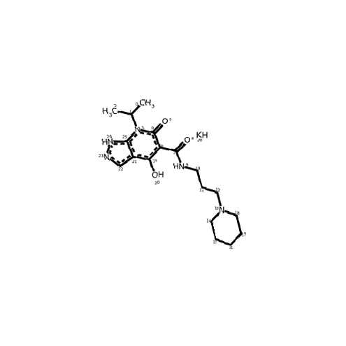 CC(C)n1c(=O)c(C(=O)NCCCN2CCCCC2)c(O)c2cn[nH]c21.[KH]